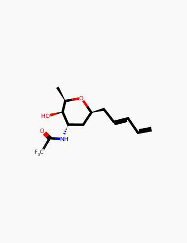 C=C/C=C/C[C@H]1C[C@H](NC(=O)C(F)(F)F)[C@@H](O)[C@@H](C)O1